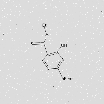 CCCCCc1ncc(C(=S)OCC)c(O)n1